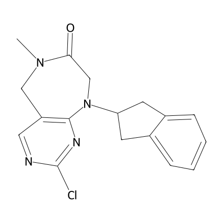 CN1Cc2cnc(Cl)nc2N(C2Cc3ccccc3C2)CC1=O